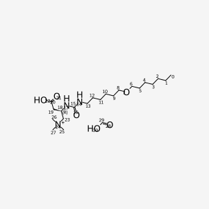 CCCCCCCOCCCCCCNC(=O)N[C@H](CC(=O)O)C[N+](C)(C)C.O=CO